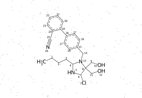 CCCCC1NC(Cl)C(CO)(CO)N1Cc1ccc(-c2ccccc2C#N)cc1